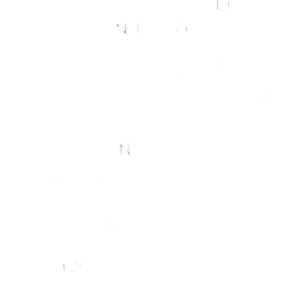 CCOC1(OCC)CCN(C(=O)OC(C)(C)C)CC1N